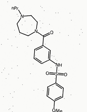 CCCN1CCCN(C(=O)c2cccc(NS(=O)(=O)c3ccc(OC)cc3)c2)CC1